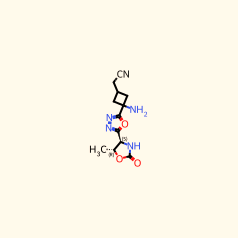 C[C@H]1OC(=O)N[C@@H]1c1nnc(C2(N)CC(CC#N)C2)o1